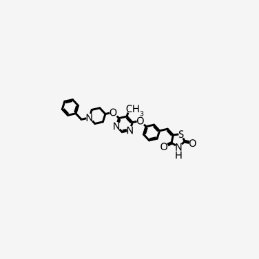 Cc1c(Oc2cccc(C=C3SC(=O)NC3=O)c2)ncnc1OC1CCN(Cc2ccccc2)CC1